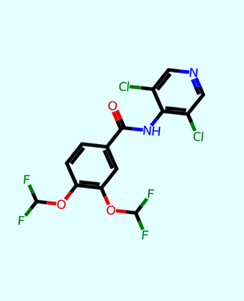 O=C(Nc1c(Cl)cncc1Cl)c1ccc(OC(F)F)c(OC(F)F)c1